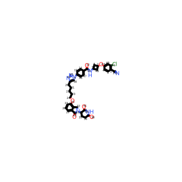 N#Cc1ccc(OC2CC(NC(=O)c3ccc(-n4cc(CCCCCOc5cccc6c5CN(C5CCC(=O)NC5=O)C6=O)nn4)cc3)C2)cc1Cl